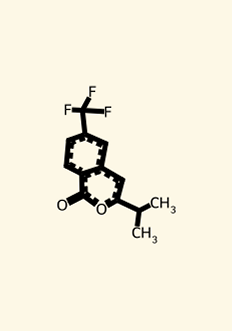 CC(C)c1cc2cc(C(F)(F)F)ccc2c(=O)o1